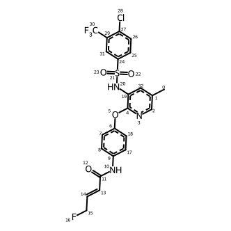 Cc1cnc(Oc2ccc(NC(=O)/C=C/CF)cc2)c(NS(=O)(=O)c2ccc(Cl)c(C(F)(F)F)c2)c1